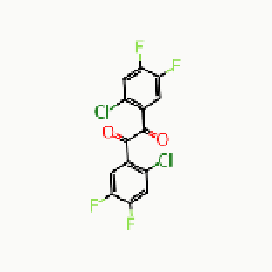 O=C(C(=O)c1cc(F)c(F)cc1Cl)c1cc(F)c(F)cc1Cl